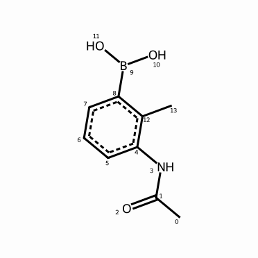 CC(=O)Nc1cccc(B(O)O)c1C